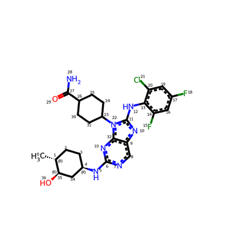 C[C@@H]1CC[C@@H](Nc2ncc3nc(Nc4c(F)cc(F)cc4Cl)n(C4CCC(C(N)=O)CC4)c3n2)C[C@H]1O